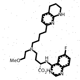 COCCN(CCCCc1ccc2c(n1)NCCC2)CC[C@H](Nc1ncnc2ccc(F)cc12)C(=O)O